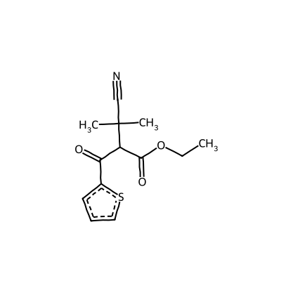 CCOC(=O)C(C(=O)c1cccs1)C(C)(C)C#N